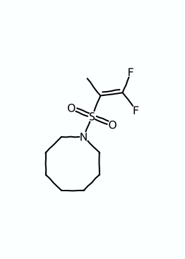 CC(=C(F)F)S(=O)(=O)N1CCCCCCC1